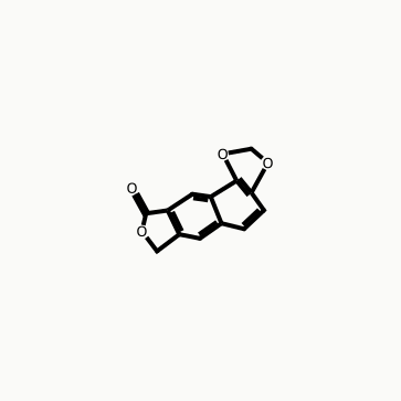 O=C1OCc2cc3ccc4c(c3cc21)OCO4